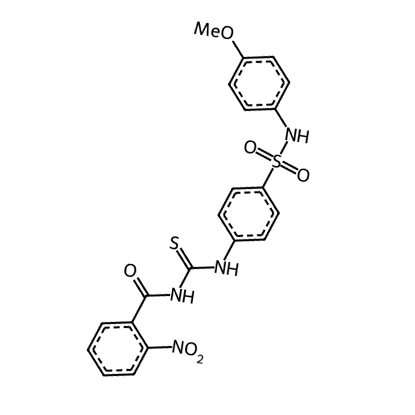 COc1ccc(NS(=O)(=O)c2ccc(NC(=S)NC(=O)c3ccccc3[N+](=O)[O-])cc2)cc1